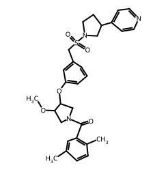 COC1CN(C(=O)c2cc(C)ccc2C)CC1Oc1cccc(CS(=O)(=O)N2CCC(c3ccncc3)C2)c1